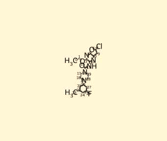 CCOc1nc2oc(Cl)cc2nc1NC(=O)N1CCN(c2cc(C)cc(F)c2)CC1